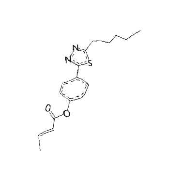 CC=CC(=O)Oc1ccc(-c2nnc(CCCCC)s2)cc1